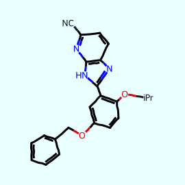 CC(C)Oc1ccc(OCc2ccccc2)cc1-c1nc2ccc(C#N)nc2[nH]1